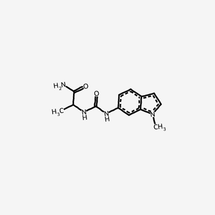 CC(NC(=O)Nc1ccc2ccn(C)c2c1)C(N)=O